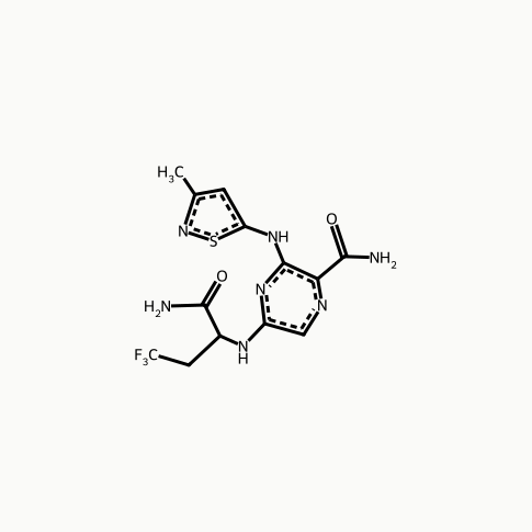 Cc1cc(Nc2nc(NC(CC(F)(F)F)C(N)=O)cnc2C(N)=O)sn1